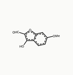 COc1ccc2c(O)c(C=O)oc2c1